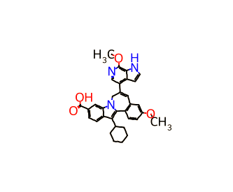 COc1ccc2c(c1)C=C(c1cnc(OC)c3[nH]ccc13)Cn1c-2c(C2CCCCC2)c2ccc(C(=O)O)cc21